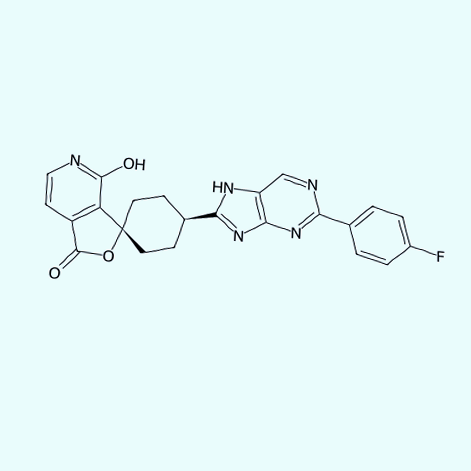 O=C1O[C@]2(CC[C@H](c3nc4nc(-c5ccc(F)cc5)ncc4[nH]3)CC2)c2c1ccnc2O